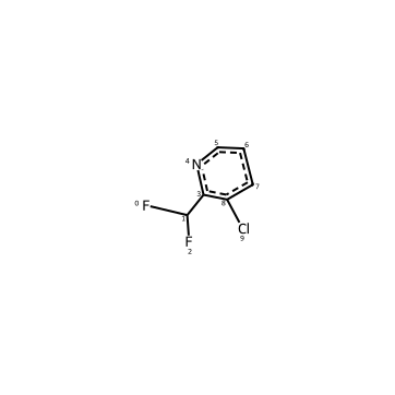 FC(F)c1ncccc1Cl